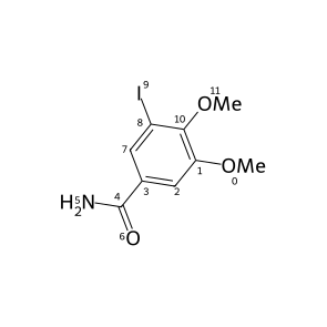 COc1cc(C(N)=O)cc(I)c1OC